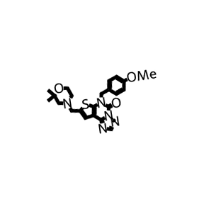 COc1ccc(Cn2c(=O)n3ncnc3c3cc(CN4CCOC(C)(C)C4)sc32)cc1